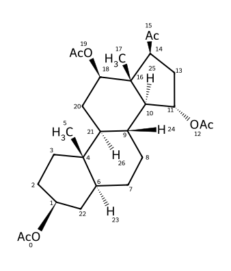 CC(=O)O[C@H]1CC[C@@]2(C)[C@@H](CC[C@H]3[C@@H]4[C@@H](OC(C)=O)C[C@H](C(C)=O)[C@@]4(C)[C@H](OC(C)=O)C[C@@H]32)C1